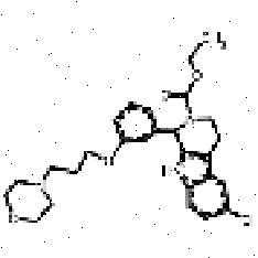 CCOC(=O)N1CCc2c([nH]c3ccc(Cl)cc23)C1c1cccc(OCCCN2CCOCC2)c1